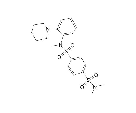 CN(C)S(=O)(=O)c1ccc(S(=O)(=O)N(C)c2ccccc2N2CCCCC2)cc1